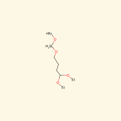 CCCCO[SiH2]OCCCC(OCC)OCC